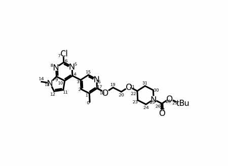 Cc1cc(-c2nc(Cl)nc3c2ccn3C)cnc1OCCOC1CCN(C(=O)OC(C)(C)C)CC1